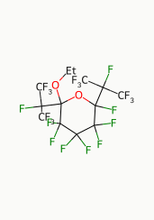 CCOC1(C(F)(C(F)(F)F)C(F)(F)F)OC(F)(C(F)(C(F)(F)F)C(F)(F)F)C(F)(F)C(F)(F)C1(F)F